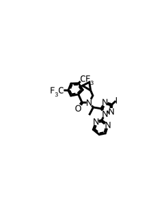 CC(c1nc(I)nn1-c1ncccn1)N(CC1CC1)C(=O)c1cc(C(F)(F)F)cc(C(F)(F)F)c1